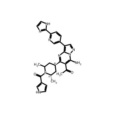 CC(=O)c1c([C@@H]2CC(C)N(C(=O)c3cc[nH]c3)[C@@H](C)C2)nc2c(-c3ccc(-c4ncc[nH]4)nc3)cnn2c1N